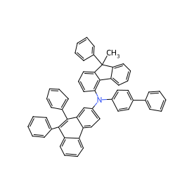 CC1(c2ccccc2)c2ccccc2-c2c(N(c3ccc(-c4ccccc4)cc3)c3ccc4c(c3)c(-c3ccccc3)c(-c3ccccc3)c3ccccc34)cccc21